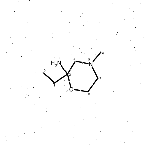 CCC1(N)CN(C)CCO1